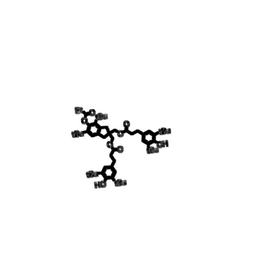 CCC(=O)Oc1c(C(C)(C)C)cc2c(c1C(C)(C)C)CC(COC(=O)CCc1cc(C(C)(C)C)c(O)c(C(C)(C)C)c1)(COC(=O)CCc1cc(C(C)(C)C)c(O)c(C(C)(C)C)c1)C2